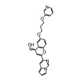 O/N=c1/cc(-c2cc3cccn3cn2)oc2ccc(OCCCOc3cccnc3)cc12